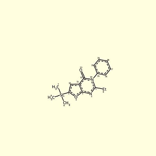 CCc1nc2oc([Si](C)(C)C)cc2c(=O)n1-c1ccccc1